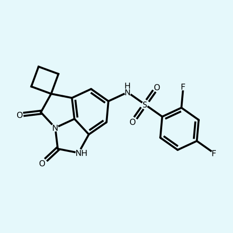 O=C1n2c(=O)[nH]c3cc(NS(=O)(=O)c4ccc(F)cc4F)cc(c32)C12CCC2